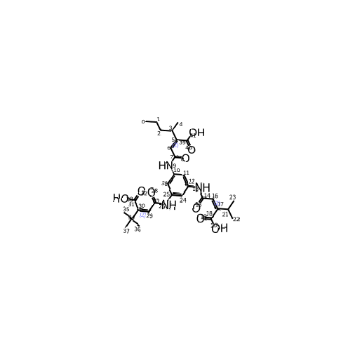 CCCC(C)/C(=C/C(=O)Nc1cc(NC(=O)/C=C(\C(=O)O)C(C)C)cc(NC(=O)/C=C(\C(=O)O)C(C)(C)C)c1)C(=O)O